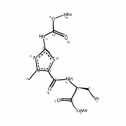 COC(=O)[C@H](CC(C)C)NC(=O)c1sc(NC(=O)OC(C)(C)C)nc1C